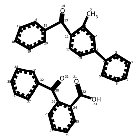 Cc1cc(-c2ccccc2)ccc1C(=O)c1ccccc1.O=C(O)c1ccccc1C(=O)c1ccccc1